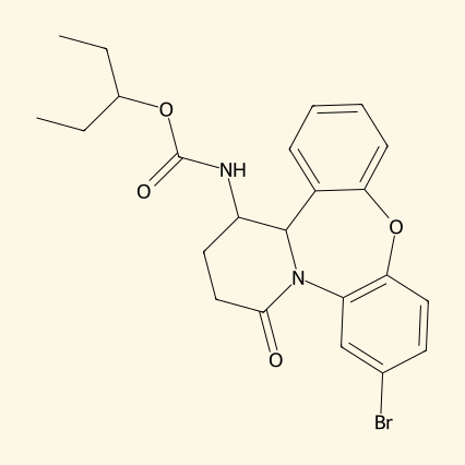 CCC(CC)OC(=O)NC1CCC(=O)N2c3cc(Br)ccc3Oc3ccccc3C12